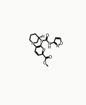 COC(=O)c1ccc2c(n1)N(C(=O)Nc1ccon1)[C@H]1CCCN2C1